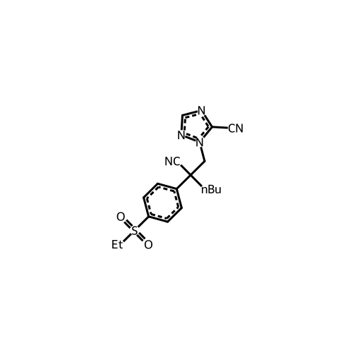 CCCCC(C#N)(Cn1ncnc1C#N)c1ccc(S(=O)(=O)CC)cc1